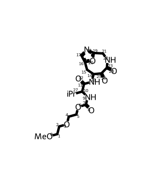 COCCOCCOC(=O)NC(C(=O)NC1Cc2cnc(o2)CNC(=O)C1=O)C(C)C